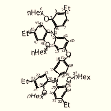 CCCCCCOc1cc(CC)ccc1N(c1ccc(Oc2ccc(N(c3ccc(CC)cc3OCCCCCC)c3ccc(CC)cc3OCCCCCC)cc2)cc1)c1ccc(CC)cc1OCCCCCC